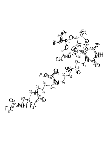 [C-]#[N+]CCOP(OC1[C@@H](CC)O[C@@H](c2cn(CCC(=O)NCCCN(CCCCN(CCCNC(=O)C(F)(F)F)C(=O)C(F)(F)F)C(=O)C(F)(F)F)c(=O)[nH]c2=O)[C@H]1O[Si](C)(C)C(C)(C)C)N(C(C)C)C(C)C